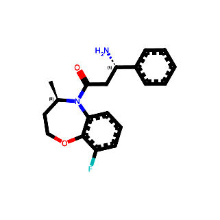 C[C@@H]1CCOc2c(F)cccc2N1C(=O)C[C@H](N)c1ccccc1